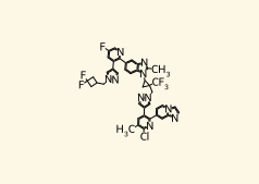 Cc1cc(-c2cnn(CC3(C(F)(F)F)CC3n3c(C)nc4cc(-c5ncc(F)cc5-c5cnn(CC6CC(F)(F)C6)c5)ccc43)c2)c(-c2ccn3ccnc3c2)nc1Cl